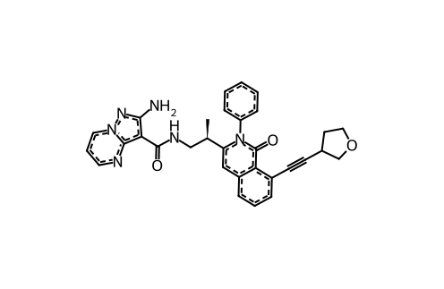 C[C@H](CNC(=O)c1c(N)nn2cccnc12)c1cc2cccc(C#CC3CCOC3)c2c(=O)n1-c1ccccc1